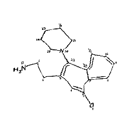 NCCc1cc(Cl)c2ccccc2c1N1CCCCC1